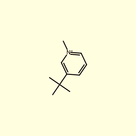 C[n+]1cccc(C(C)(C)C)c1